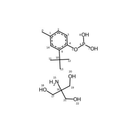 Cc1ccc(OP(O)O)c(C(C)(C)C)c1.NC(CO)(CO)CO